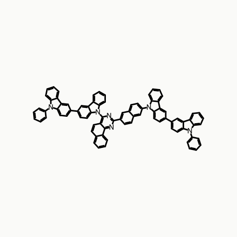 c1ccc(-n2c3ccccc3c3cc(-c4ccc5c(c4)c4ccccc4n5-c4ccc5cc(-c6nc(-n7c8ccccc8c8cc(-c9ccc%10c(c9)c9ccccc9n%10-c9ccccc9)ccc87)c7ccc8ccccc8c7n6)ccc5c4)ccc32)cc1